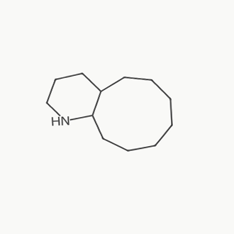 C1CCCC2CCCNC2CCC1